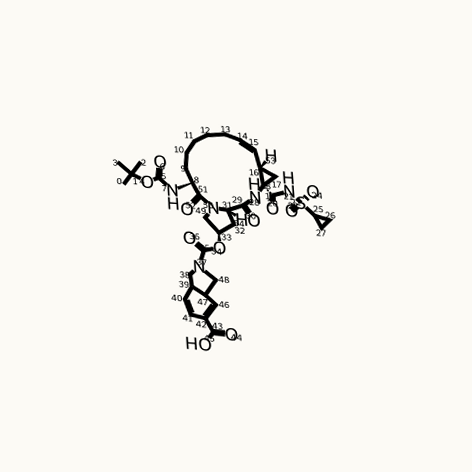 CC(C)(C)OC(=O)N[C@H]1CCCCC/C=C\[C@@H]2C[C@@]2(C(=O)NS(=O)(=O)C2CC2)NC(=O)[C@@H]2C[C@@H](OC(=O)N3CC4C=CC(C(=O)O)=CC4C3)CN2C1=O